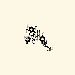 Cc1cncc(-n2c(=O)nc(Nc3cc4cn(CCO)nc4cc3Cl)n(Cc3cc(F)c(F)cc3F)c2=O)c1